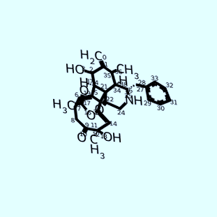 C=C1C(O)[C@@H]2/C3=C/CCC(=O)[C@](C)(O)/C=C(\OC(C)=O)C3C23C(=O)CN[C@@H](Cc2ccccc2)[C@@H]3C1C